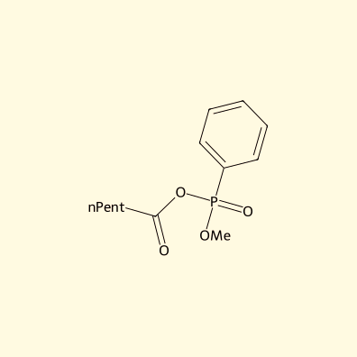 CCCCCC(=O)OP(=O)(OC)c1ccccc1